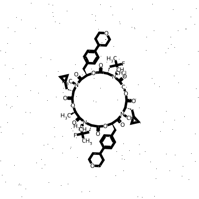 C[C@H]1OC(=O)[C@H](CC2CC2)N(C)C(=O)[C@@H](Cc2ccc(C3CCOCC3)cc2)OC(=O)[C@H](CC(C)(C)F)N(C)C(=O)COC(=O)[C@H](CC2CC2)N(C)C(=O)[C@@H](Cc2ccc(C3CCOCC3)cc2)OC(=O)[C@H](CC(C)(C)F)N(C)C1=O